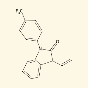 C=CC1C(=O)N(c2ccc(C(F)(F)F)cc2)c2ccccc21